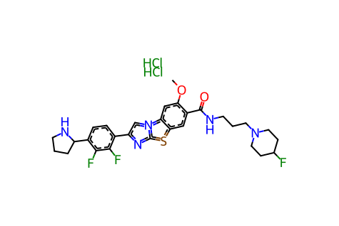 COc1cc2c(cc1C(=O)NCCCN1CCC(F)CC1)sc1nc(-c3ccc(C4CCCN4)c(F)c3F)cn12.Cl.Cl